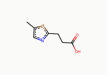 Cc1cnc(CCC(=O)O)s1